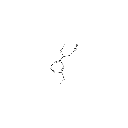 COc1cccc(C(CC#N)SC)c1